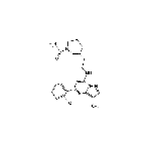 Cc1cnn2c(NCCC3CCCN(C(N)=O)C3)cc(-c3ccccc3Cl)nc12